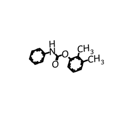 Cc1cccc(OC(=O)Nc2ccccc2)c1C